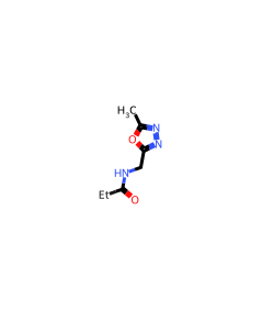 CCC(=O)NCc1nnc(C)o1